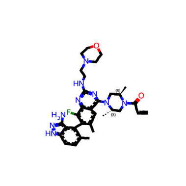 C=CC(=O)N1C[C@H](C)N(c2nc(NCCN3CCOCC3)nc3c(F)c(-c4c(C)ccc5[nH]nc(N)c45)c(C)cc23)C[C@H]1C